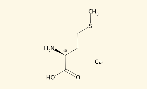 CSCC[C@H](N)C(=O)O.[Ca]